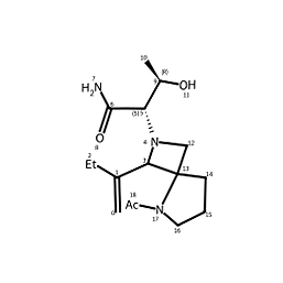 C=C(CC)C1N([C@H](C(N)=O)[C@@H](C)O)CC12CCCN2C(C)=O